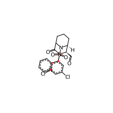 O=C[C@@H]1[C@@H]2CCCC(C(=O)N1Cc1ccccn1)N2S(=O)(=O)c1cc(Cl)cc(Cl)c1